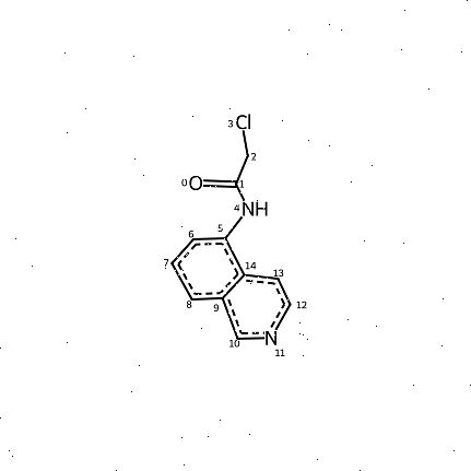 O=C(CCl)Nc1cccc2cnccc12